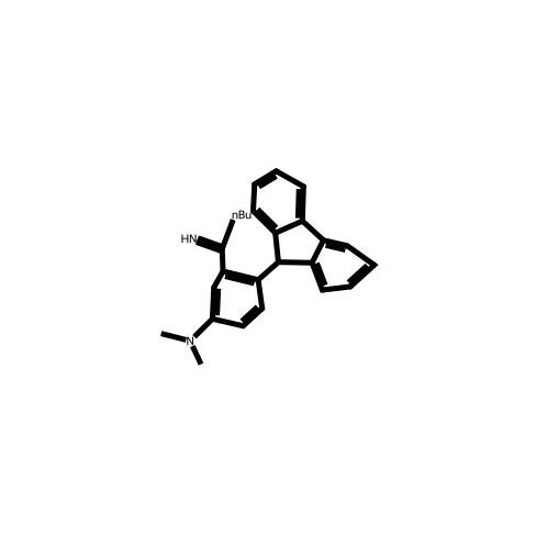 CCCCC(=N)c1cc(N(C)C)ccc1C1c2ccccc2-c2ccccc21